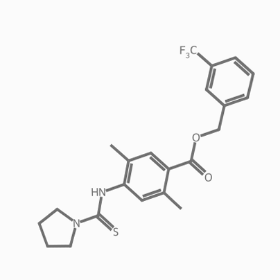 Cc1cc(C(=O)OCc2cccc(C(F)(F)F)c2)c(C)cc1NC(=S)N1CCCC1